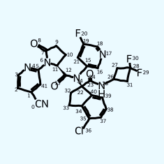 N#Cc1ccnc(N2C(=O)CC[C@H]2C(=O)N(c2cncc(F)c2)[C@]2(C(=O)NC3CC(F)(F)C3)CCc3c(Cl)cccc32)c1